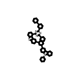 c1ccc(-c2cccc(-c3nc(-c4ccccc4)nc(-c4cccc5sc6ccc(-c7cccc(-c8ccc9c(c8)c8ccccc8n9-c8ccccc8)c7)cc6c45)n3)c2)cc1